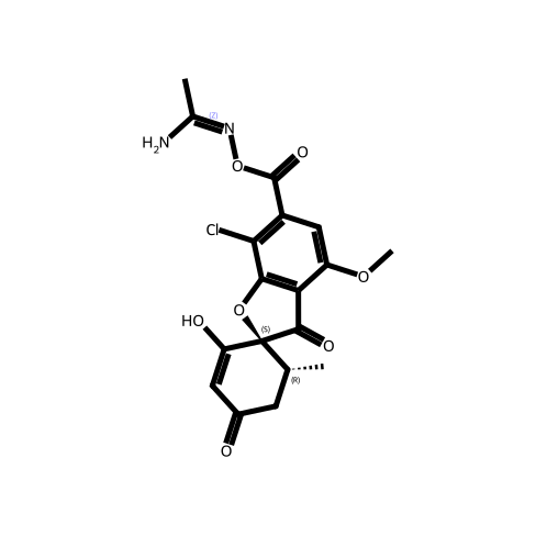 COc1cc(C(=O)O/N=C(/C)N)c(Cl)c2c1C(=O)[C@@]1(O2)C(O)=CC(=O)C[C@H]1C